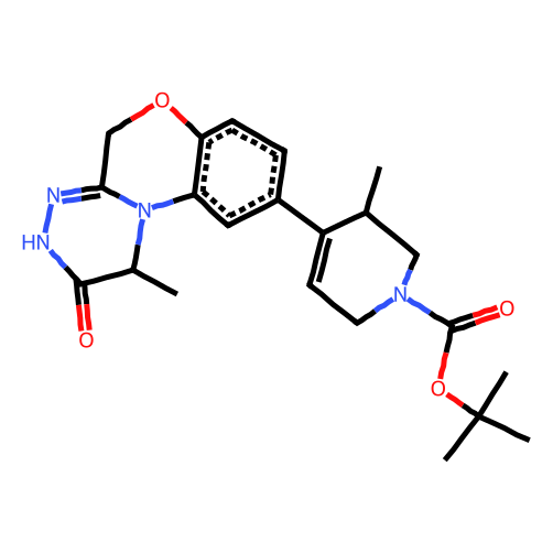 CC1CN(C(=O)OC(C)(C)C)CC=C1c1ccc2c(c1)N1C(=NNC(=O)C1C)CO2